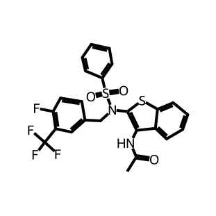 CC(=O)Nc1c(N(Cc2ccc(F)c(C(F)(F)F)c2)S(=O)(=O)c2ccccc2)sc2ccccc12